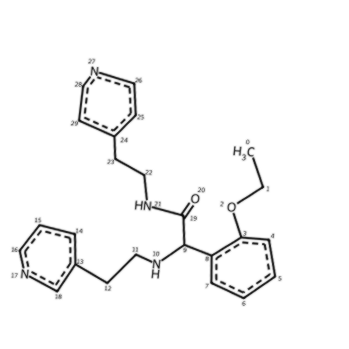 CCOc1ccccc1C(NCCc1cccnc1)C(=O)NCCc1ccncc1